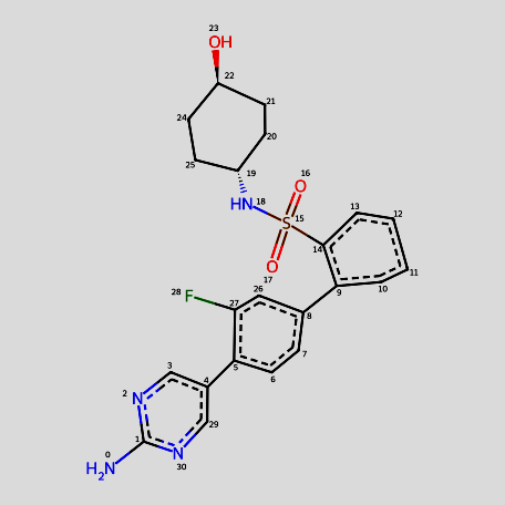 Nc1ncc(-c2ccc(-c3ccccc3S(=O)(=O)N[C@H]3CC[C@H](O)CC3)cc2F)cn1